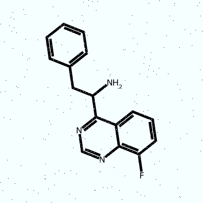 NC(Cc1ccccc1)c1ncnc2c(F)cccc12